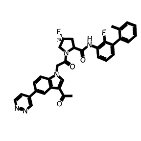 CC(=O)c1cn(CC(=O)N2C[C@H](F)CC2C(=O)Nc2cccc(-c3ccccc3C)c2F)c2ccc(-c3ccnnc3)cc12